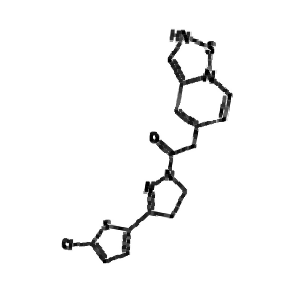 O=C(CC1=CC2=CNSN2C=C1)N1CCC(c2ccc(Cl)s2)=N1